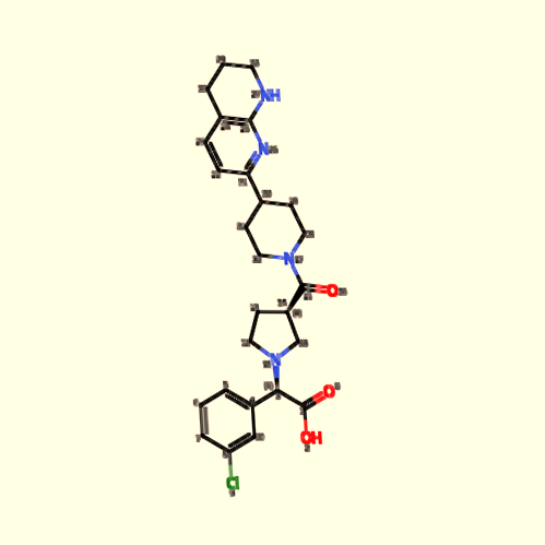 O=C(O)[C@@H](c1cccc(Cl)c1)N1CC[C@@H](C(=O)N2CCC(c3ccc4c(n3)NCCC4)CC2)C1